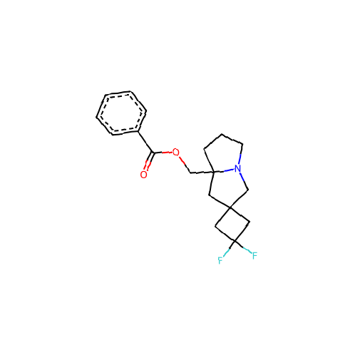 O=C(OCC12CCCN1CC1(CC(F)(F)C1)C2)c1ccccc1